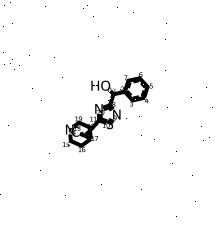 OC(c1ccccc1)c1nsc(C2CN3CCC2CC3)n1